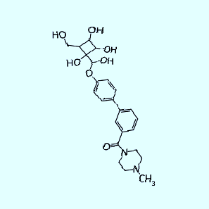 CN1CCN(C(=O)c2cccc(-c3ccc(OC(O)C4(O)C(O)C(O)C4CO)cc3)c2)CC1